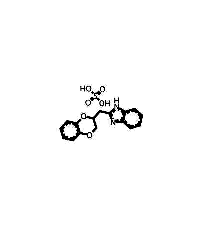 O=S(=O)(O)O.c1ccc2c(c1)OCC(Cc1nc3ccccc3[nH]1)O2